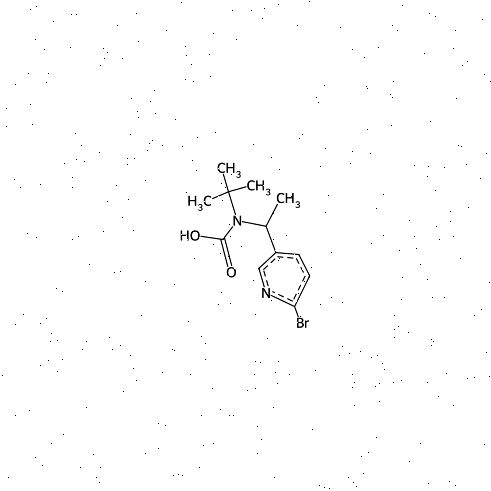 CC(c1ccc(Br)nc1)N(C(=O)O)C(C)(C)C